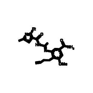 C=CCCc1c(/N=C(\C)NC(=O)c2cc(C)nn2CC)cc(C(N)=O)cc1OC